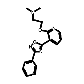 CN(C)CCOc1ncccc1-c1nc(-c2ccccc2)no1